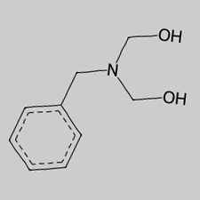 OCN(CO)Cc1ccccc1